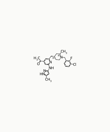 CC(=O)c1cc(C[C@@H]2CCN(Cc3cccc(Cl)c3F)[C@H](C)C2)nc(Nc2cc(C)[nH]n2)c1